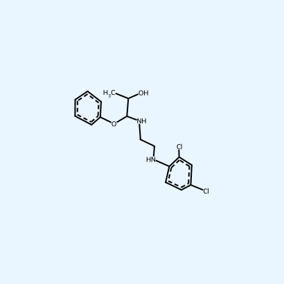 CC(O)C(NCCNc1ccc(Cl)cc1Cl)Oc1ccccc1